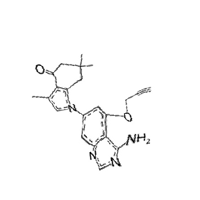 C#CCOc1cc(-n2cc(C)c3c2CC(C)(C)CC3=O)cc2ncnc(N)c12